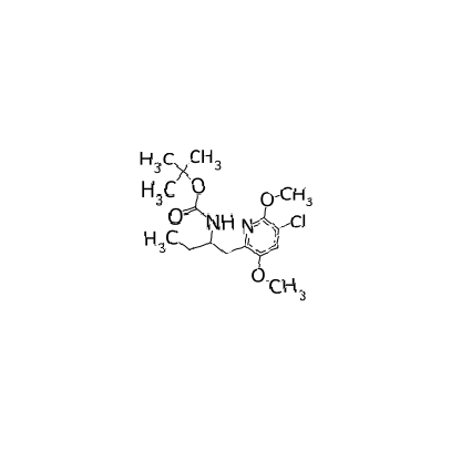 CCC(Cc1nc(OC)c(Cl)cc1OC)NC(=O)OC(C)(C)C